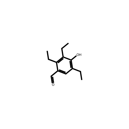 CCc1cc(C=O)c(CC)c(CC)c1O